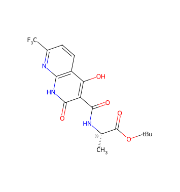 C[C@H](NC(=O)c1c(O)c2ccc(C(F)(F)F)nc2[nH]c1=O)C(=O)OC(C)(C)C